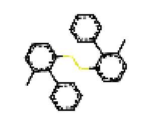 Cc1cccc(SSc2cccc(C)c2-c2ccccc2)c1-c1ccccc1